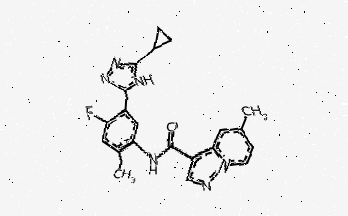 Cc1ccn2ncc(C(=O)Nc3cc(-c4nnc(C5CC5)[nH]4)c(F)cc3C)c2c1